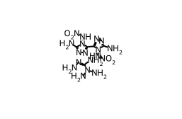 NN=C(N)N(N)N.Nc1nnc(-c2nnc(N)n2N[N+](=O)[O-])n1N[N+](=O)[O-]